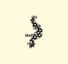 COc1nc(-c2ccnc(-c3cccc(NC(=O)c4ccc(CN5CC(O)C5)cn4)c3C)c2Cl)ccc1CN(C)CC1CCC(=O)N1